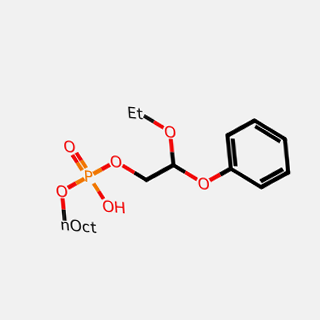 CCCCCCCCOP(=O)(O)OCC(OCC)Oc1ccccc1